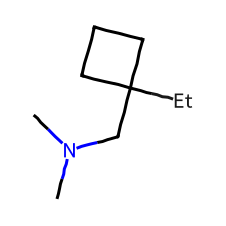 CCC1(CN(C)C)CCC1